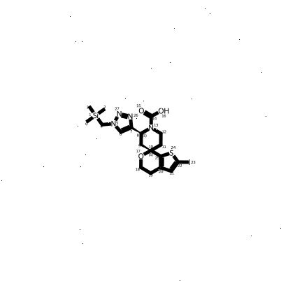 C[Si](C)(C)Cn1cc([C@@H]2C[C@]3(CCN2C(=O)O)OCCc2cc(I)sc23)nn1